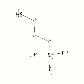 F[Si](F)(F)CCCS